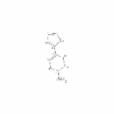 NC1CC=C(c2cccs2)CC1